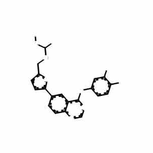 CCCC(NCc1ccc(-c2ccc3ncnc(Nc4ccc(F)c(Cl)c4)c3c2)o1)NC(=O)O